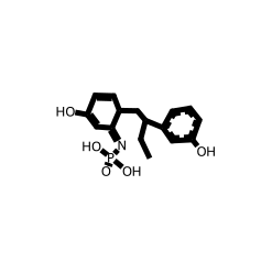 CCC(CC1C=CC(O)=CC1=NP(=O)(O)O)c1cccc(O)c1